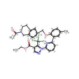 CCOC(=O)c1cnn(-c2cccc(-c3cc(C)ccc3OCc3ccc4c(c3)CCN(C(C)=O)C4)n2)c1C(F)(F)F